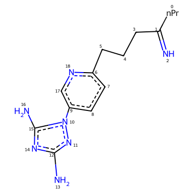 CCCC(=N)CCCc1ccc(-n2nc(N)nc2N)cn1